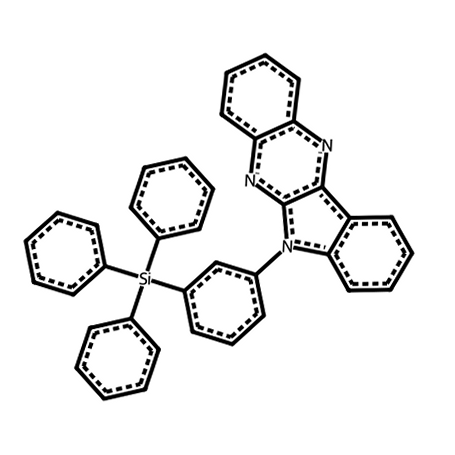 c1ccc([Si](c2ccccc2)(c2ccccc2)c2cccc(-n3c4ccccc4c4nc5ccccc5nc43)c2)cc1